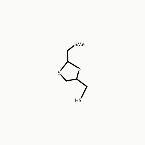 CSCC1SCC(CS)S1